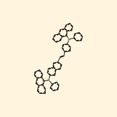 C(=C\c1ccc2cc(N(c3ccccc3)c3c4ccccc4cc4ccccc34)ccc2c1)/c1ccc(N(c2ccccc2)c2c3ccccc3cc3ccccc23)cc1